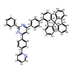 c1ccc(-c2nc(-c3ccc(-c4ccccn4)cc3)cc(-c3ccc(-c4cccc5c4-c4ccccc4C54c5ccccc5-c5ccccc54)cc3)n2)cc1